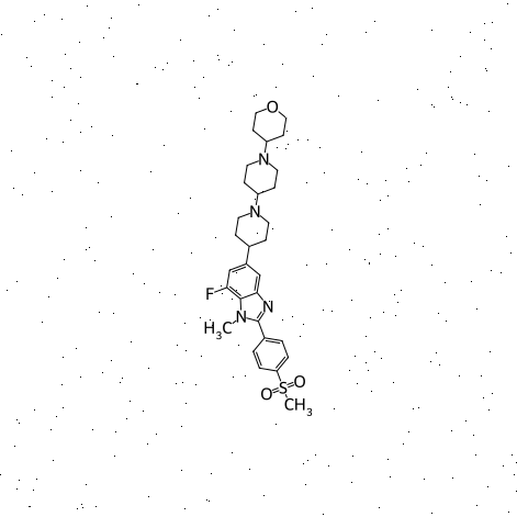 Cn1c(-c2ccc(S(C)(=O)=O)cc2)nc2cc(C3CCN(C4CCN(C5CCOCC5)CC4)CC3)cc(F)c21